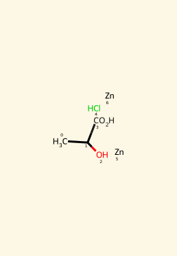 CC(O)C(=O)O.Cl.[Zn].[Zn]